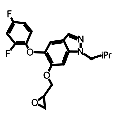 CC(C)Cn1ncc2cc(Oc3ccc(F)cc3F)c(OCC3CO3)cc21